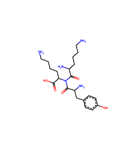 NCCCCC(N)C(=O)N(C(=O)C(N)Cc1ccc(O)cc1)C(CCCCN)C(=O)O